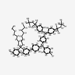 CCCCCCCCC1(CCCCCCCC)c2cc(C)ccc2-c2ccc(-c3ccc(N(c4ccc(C)cc4)c4ccc(N(c5ccc(C(C)(C)CC(C)(C)C)cc5)c5ccc(C(C)(C)CC(C)(C)C)cc5)cc4)cc3)cc21